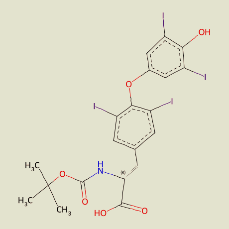 CC(C)(C)OC(=O)N[C@H](Cc1cc(I)c(Oc2cc(I)c(O)c(I)c2)c(I)c1)C(=O)O